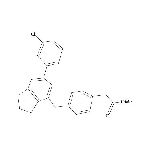 COC(=O)Cc1ccc(Cc2cc(-c3cccc(Cl)c3)cc3c2CCC3)cc1